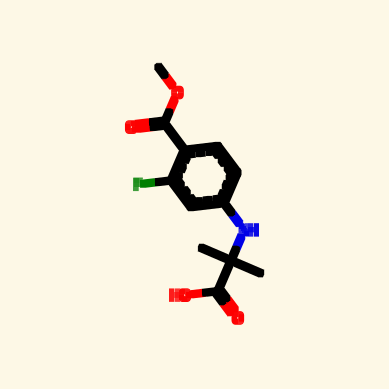 COC(=O)c1ccc(NC(C)(C)C(=O)O)cc1F